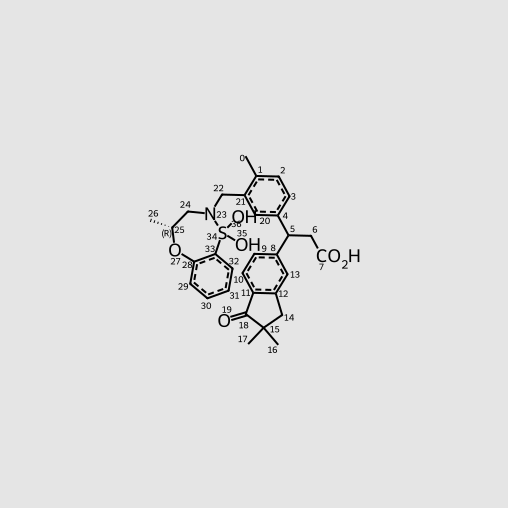 Cc1ccc(C(CC(=O)O)c2ccc3c(c2)CC(C)(C)C3=O)cc1CN1C[C@@H](C)Oc2ccccc2S1(O)O